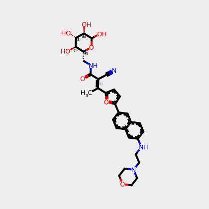 C/C(=C(/C#N)C(=O)NC[C@H]1OC(O)[C@H](O)[C@@H](O)[C@@H]1O)c1ccc(-c2ccc3cc(NCCN4CCOCC4)ccc3c2)o1